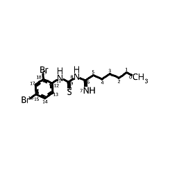 CCCCCCC(=N)NC(=S)Nc1ccc(Br)cc1Br